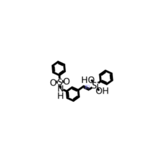 O=S(=O)(Nc1cccc(/C=C/[Si](O)(O)c2ccccc2)c1)c1ccccc1